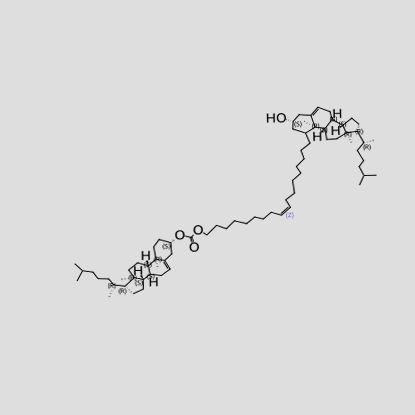 CC(C)CCC[C@@H](C)[C@H]1CC[C@H]2[C@@H]3CC=C4C[C@@H](OC(=O)OCCCCCCCC/C=C\CCCCCCCCC5C[C@H](O)CC6=CC[C@H]7[C@@H]8CC[C@H]([C@H](C)CCCC(C)C)[C@@]8(C)CC[C@@H]7[C@]65C)CC[C@]4(C)[C@H]3CC[C@]12C